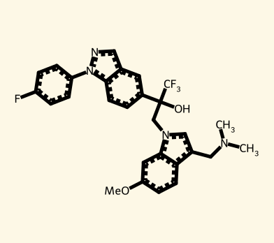 COc1ccc2c(CN(C)C)cn(CC(O)(c3ccc4c(cnn4-c4ccc(F)cc4)c3)C(F)(F)F)c2c1